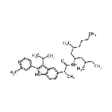 CCCCC(C)CC(CC(C)CC)NC(=O)C(C)c1ccc2[nH]c(-c3ccnc(C)c3)c(C(C)C)c2c1